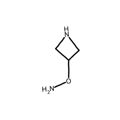 NOC1CNC1